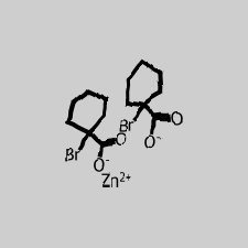 O=C([O-])C1(Br)CCCCC1.O=C([O-])C1(Br)CCCCC1.[Zn+2]